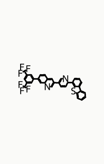 FC(F)(F)c1cc(-c2ccc3cc(-c4ccc(-c5cccc6c5sc5ccccc56)nc4)cnc3c2)cc(C(F)(F)F)c1